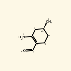 C[C@H]1CCC(C=O)=C(N)C1